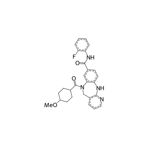 COC1CCC(C(=O)N2Cc3cccnc3Nc3ccc(C(=O)Nc4ccccc4F)cc32)CC1